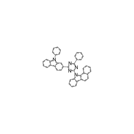 c1ccc(-c2nc(-c3ccc4c5ccccc5n(-c5ccccc5)c4c3)nc(-n3c4ccccc4c4ccc5ccccc5c43)n2)cc1